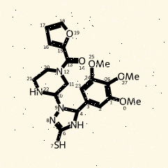 COc1cc(C2NC(S)=NN2C2CN(C(=O)c3ccco3)CCN2)cc(OC)c1OC